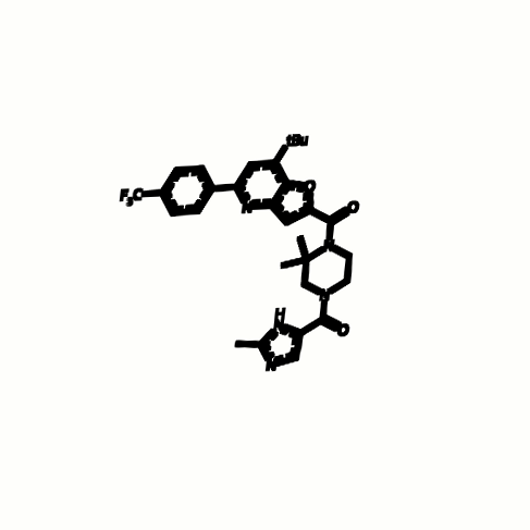 Cc1ncc(C(=O)N2CCN(C(=O)c3cc4nc(-c5ccc(C(F)(F)F)cc5)cc(C(C)(C)C)c4o3)C(C)(C)C2)[nH]1